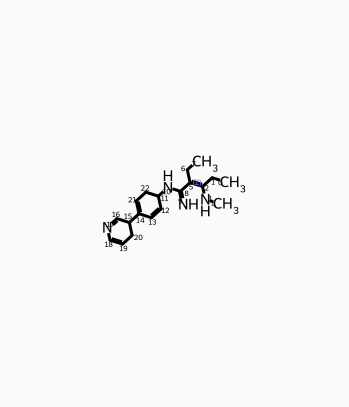 CC/C(NC)=C(\CC)C(=N)NC1C=CC(C2C=NC=CC2)=CC1